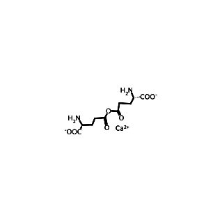 N[C@@H](CCC(=O)OC(=O)CC[C@H](N)C(=O)[O-])C(=O)[O-].[Ca+2]